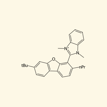 CCCc1ccc2c(oc3cc(C(C)(C)C)ccc32)c1-c1n(C)c2ccccc2[n+]1C